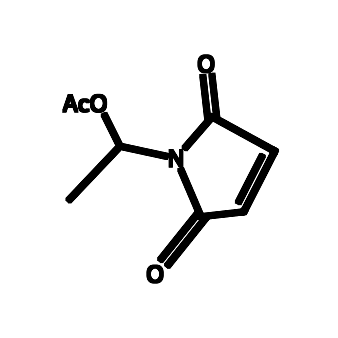 CC(=O)OC(C)N1C(=O)C=CC1=O